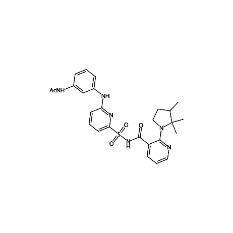 CC(=O)Nc1cccc(Nc2cccc(S(=O)(=O)NC(=O)c3cccnc3N3CCC(C)C3(C)C)n2)c1